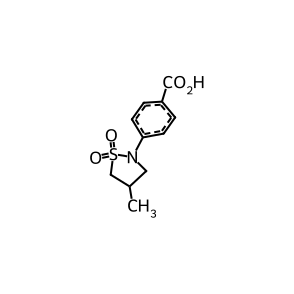 CC1CN(c2ccc(C(=O)O)cc2)S(=O)(=O)C1